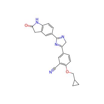 N#Cc1cc(C2=NC(c3ccc4c(c3)CC(=O)N4)=NC2)ccc1OCC1CC1